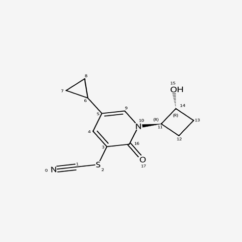 N#CSc1cc(C2CC2)cn([C@@H]2CC[C@H]2O)c1=O